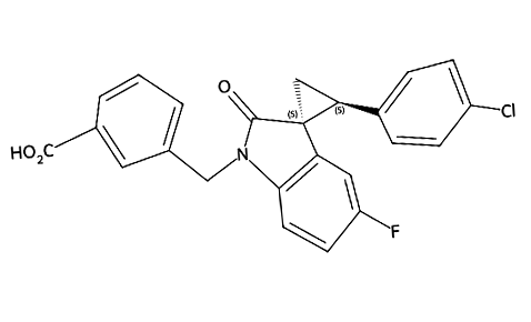 O=C(O)c1cccc(CN2C(=O)[C@]3(C[C@H]3c3ccc(Cl)cc3)c3cc(F)ccc32)c1